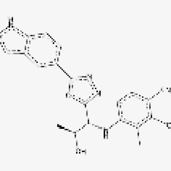 Cc1c(N[C@@H](c2nnc(-c3ccc4[nH]ccc4c3)o2)[C@H](C)O)ccc(C#N)c1Cl